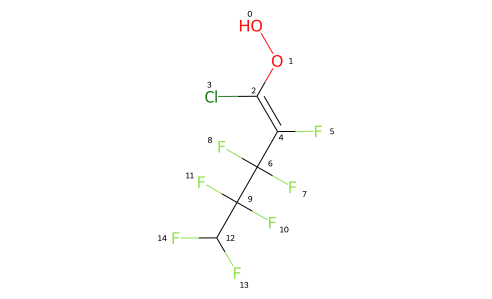 OOC(Cl)=C(F)C(F)(F)C(F)(F)C(F)F